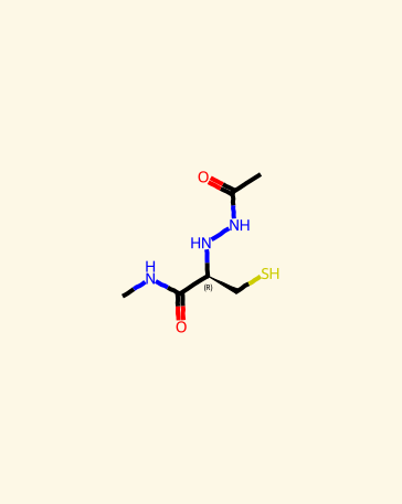 CNC(=O)[C@H](CS)NNC(C)=O